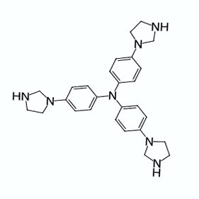 c1cc(N(c2ccc(N3CCNC3)cc2)c2ccc(N3CCNC3)cc2)ccc1N1CCNC1